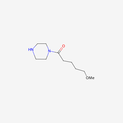 COCCCCC(=O)N1CCNCC1